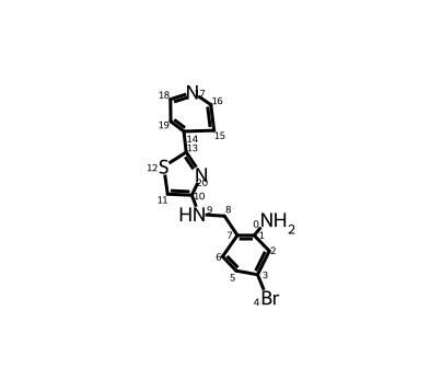 Nc1cc(Br)ccc1CNc1csc(-c2ccncc2)n1